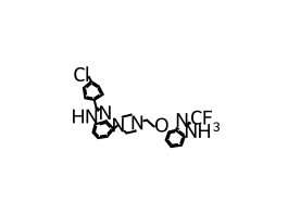 FC(F)(F)c1nc2c(OCCN3CCN(c4cccc5[nH]c(-c6ccc(Cl)cc6)nc45)CC3)cccc2[nH]1